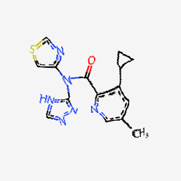 Cc1cnc(C(=O)N(c2cscn2)c2nnc[nH]2)c(C2CC2)c1